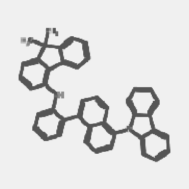 CC1(C)c2ccccc2-c2c(Nc3ccccc3-c3cccc4c(-n5c6ccccc6c6ccccc65)cccc34)cccc21